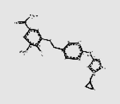 CNC(=O)c1cc(CCc2cnc(Nc3cnn(C4CC4)c3)nc2)c(F)c(OC)c1